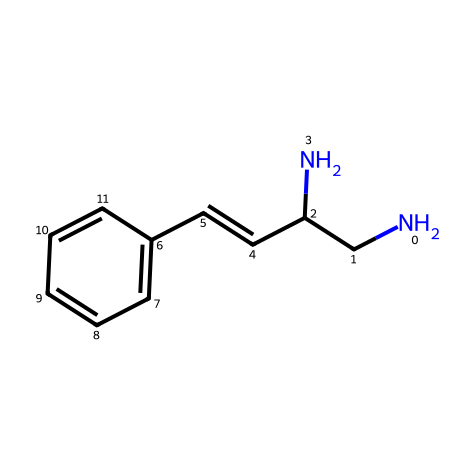 NCC(N)C=Cc1ccccc1